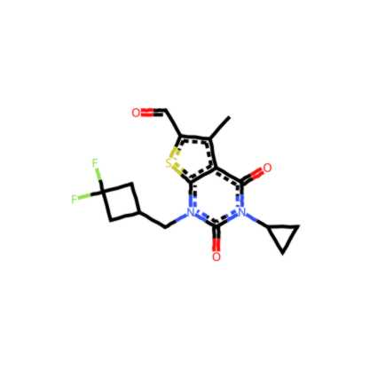 Cc1c(C=O)sc2c1c(=O)n(C1CC1)c(=O)n2CC1CC(F)(F)C1